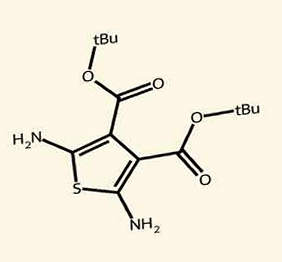 CC(C)(C)OC(=O)c1c(N)sc(N)c1C(=O)OC(C)(C)C